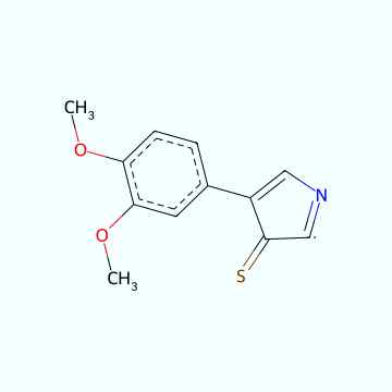 COc1ccc(C2=CN=[C]C2=S)cc1OC